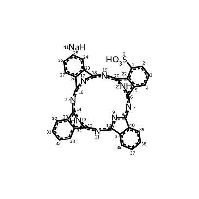 O=S(=O)(O)c1cccc2c3nc4nc(nc5[nH]c(nc6nc(nc([nH]3)c12)-c1ccccc1-6)c1ccccc51)-c1ccccc1-4.[NaH]